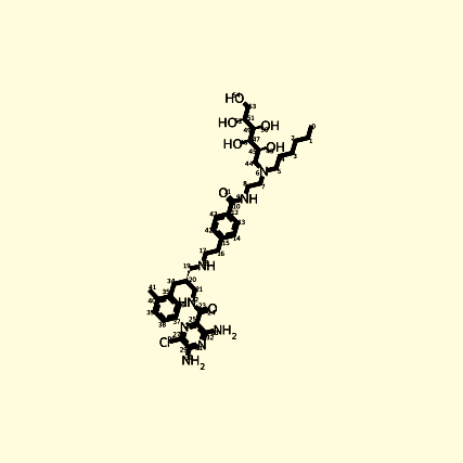 CCCCCCN(CCNC(=O)c1ccc(CCNC[C@H](CNC(=O)c2nc(Cl)c(N)nc2N)Cc2ccccc2C)cc1)C[C@H](O)[C@@H](O)[C@H](O)[C@H](O)CO